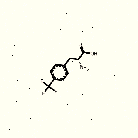 N[C@H](Cc1ccc(C(F)(F)F)cc1)C(=O)O